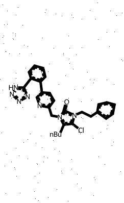 CCCCc1c(Cl)n(CCc2ccccc2)c(=O)n1Cc1ccc(-c2ccccc2-c2nnn[nH]2)cn1